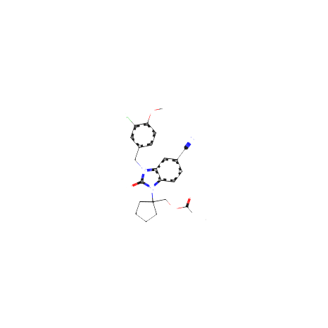 COc1ccc(Cn2c(=O)n(C3(COC(C)=O)CCCC3)c3ccc(C#N)cc32)cc1Cl